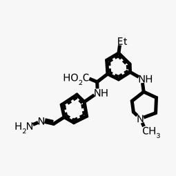 CCc1cc(NC2CCN(C)CC2)cc(C(Nc2ccc(C=NN)cc2)C(=O)O)c1